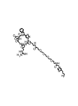 N=C(N)NCCC[C@@H]1NC(=O)[C@H](CCCCNC(=O)CCOCCOCCOCCOCCNC(=O)Cn2cc(CCC[18F])nn2)n2cc(nn2)[C@H](Cc2ccccc2)NC(=O)[C@H](CC(=O)O)NC(=O)CNC1=O